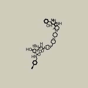 C#Cc1ccc(CNC(=O)[C@@H]2C[C@@H](O)CN2C(=O)[C@@H](NC(=O)N2CCN(CC3CCN([C@H]4CC[C@@H](N5CCc6[nH]c7nnc(-c8ccccc8O)cc7c6[C@H]5C)CC4)CC3)CC2)C(C)(C)C)cc1